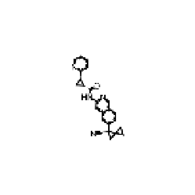 N#C[C@]1(c2ccc3cnc(NC(=O)[C@@H]4C[C@H]4c4ccccn4)cc3c2)CC12CC2